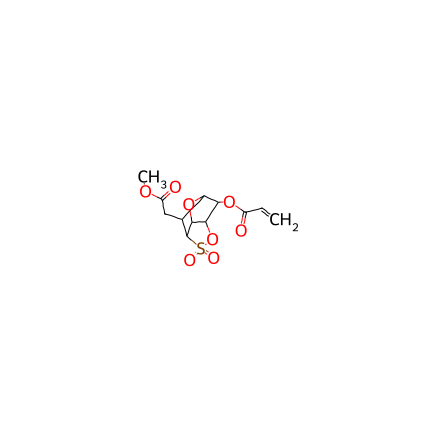 C=CC(=O)OC1C2OC3C1OS(=O)(=O)C3C2CC(=O)OC